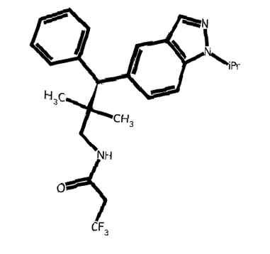 CC(C)n1ncc2cc([C@H](c3ccccc3)C(C)(C)CNC(=O)CC(F)(F)F)ccc21